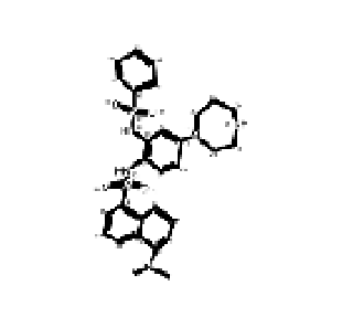 CN(C)c1cccc2c(S(=O)(=O)Nc3ccc(N4CCCNCC4)cc3NS(=O)(=O)c3ccccc3)cccc12